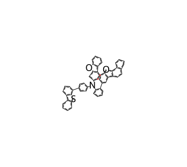 c1ccc(N(c2ccc(-c3cccc4c3sc3ccccc34)cc2)c2ccc3c(c2)oc2ccccc23)c(-c2ccc3oc4c5ccccc5ccc4c3c2)c1